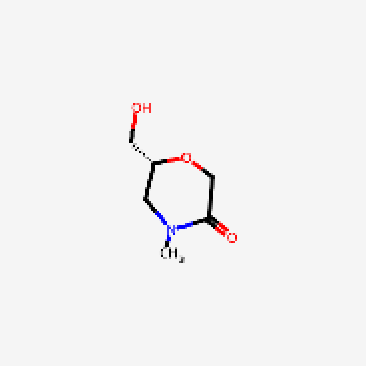 CN1C[C@H](CO)OCC1=O